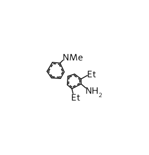 CCc1cccc(CC)c1N.CNc1ccccc1